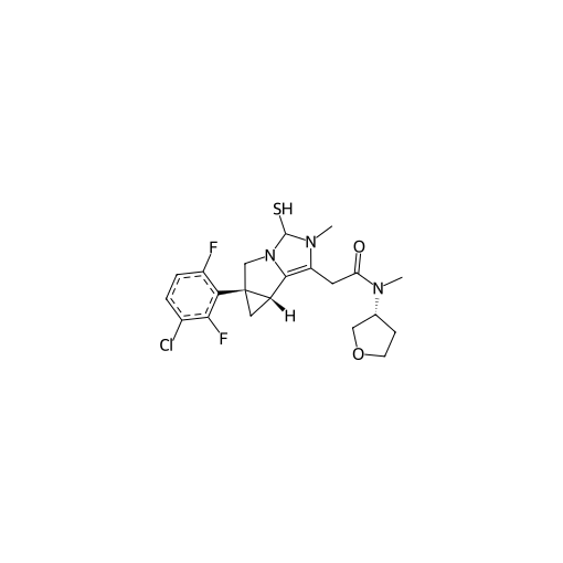 CN1C(CC(=O)N(C)[C@@H]2CCOC2)=C2[C@@H]3C[C@]3(c3c(F)ccc(Cl)c3F)CN2C1S